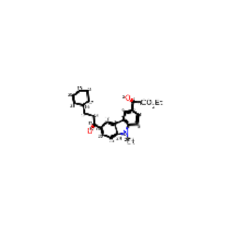 CCOC(=O)C(=O)c1ccc2c(c1)c1cc(C(=O)CCC3CCCCC3)ccc1n2CC